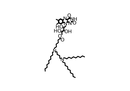 CCCCCCCCCCN(CCCCCCCCCC)CCCCN(CCCCCCCCCC)CCCCCC(=O)OC[C@H](O)[C@H](O)[C@H](O)Cn1c2nc(=O)[nH]c(=O)c-2nc2cc(C)c(C)cc21